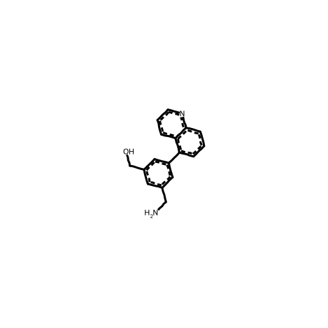 NCc1cc(CO)cc(-c2cccc3ncccc23)c1